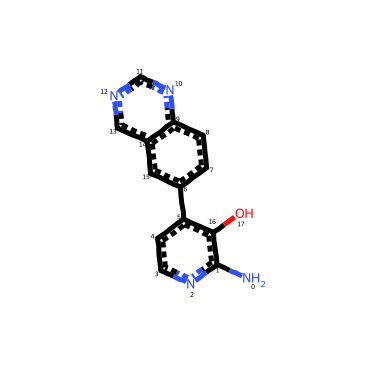 Nc1nccc(-c2ccc3ncncc3c2)c1O